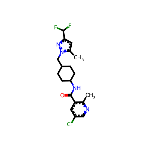 Cc1ncc(Cl)cc1C(=O)NC1CCC(Cn2nc(C(F)F)cc2C)CC1